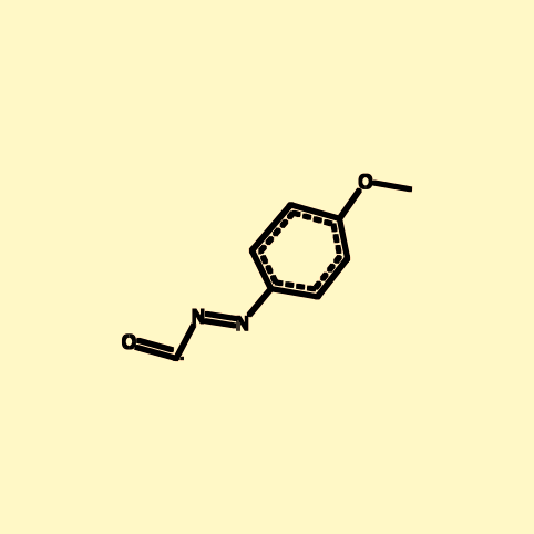 COc1ccc(N=N[C]=O)cc1